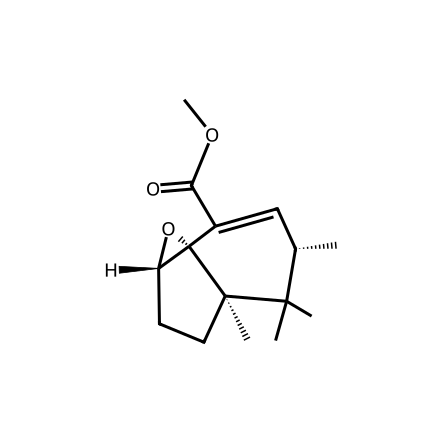 COC(=O)C1=C[C@H](C)C(C)(C)[C@@]2(C)CC[C@@H]3O[C@@]132